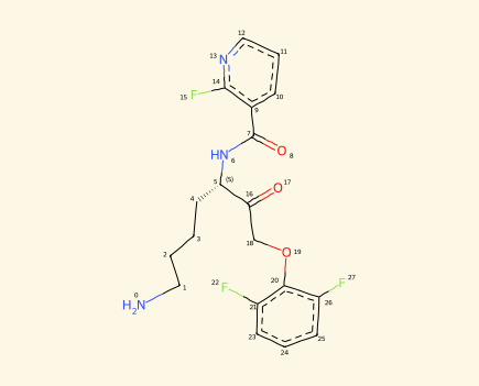 NCCCC[C@H](NC(=O)c1cccnc1F)C(=O)COc1c(F)cccc1F